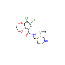 COC1CNCC[C@H]1CNC(=O)c1cc(Cl)c(Cl)c2c1OCCCO2